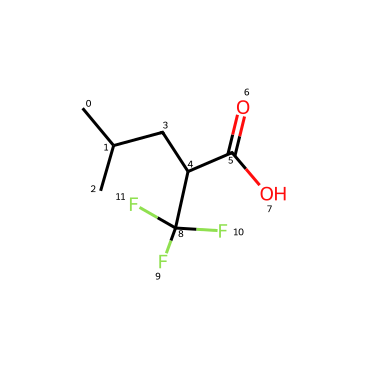 CC(C)CC(C(=O)O)C(F)(F)F